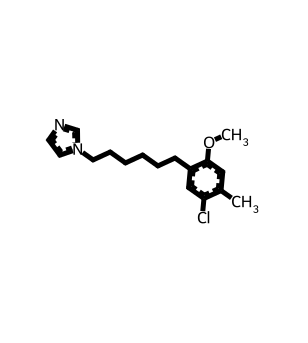 COc1cc(C)c(Cl)cc1CCCCCCn1ccnc1